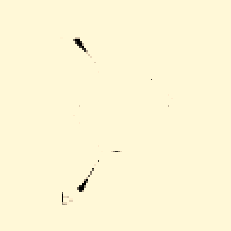 Cl[C@H]1CCC[C@@H](Br)C1